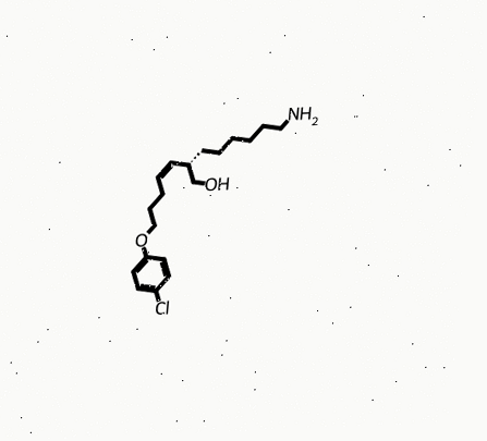 NCCCCCC[C@@H](/C=C\CCCOc1ccc(Cl)cc1)CO